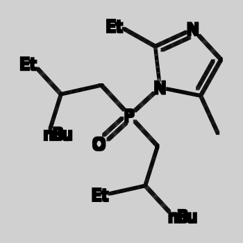 CCCCC(CC)CP(=O)(CC(CC)CCCC)n1c(C)cnc1CC